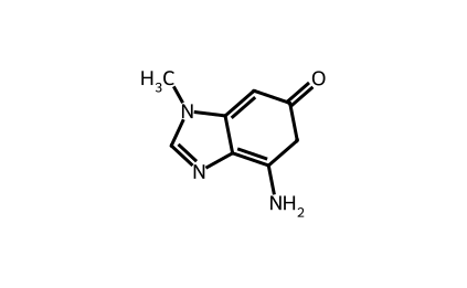 Cn1cnc2c1=CC(=O)CC=2N